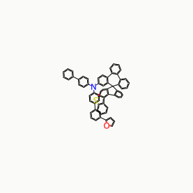 c1ccc(-c2ccc(N(c3ccc(-c4cccc(-c5ccco5)c4)cc3)c3ccc4c(c3)C3(c5ccccc5-c5ccccc5-4)c4ccccc4-c4c3ccc3sc5ccccc5c43)cc2)cc1